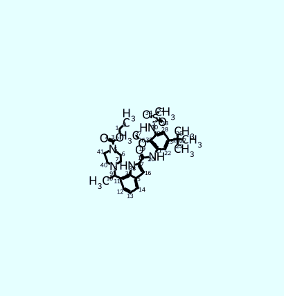 CCOC(=O)N1CCN(C(C)c2cccc3cc(C(=O)Nc4cc(C(C)(C)C)cc(NS(C)(=O)=O)c4OC)[nH]c23)CC1